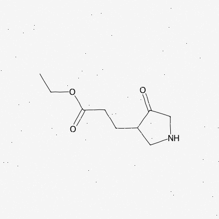 CCOC(=O)CCC1CNCC1=O